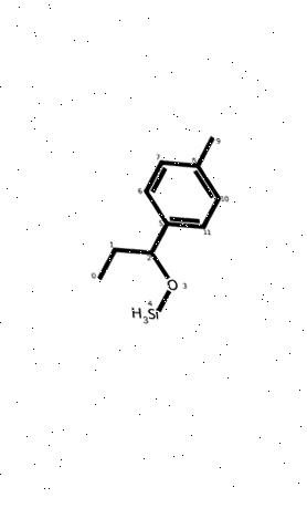 CCC(O[SiH3])c1ccc(C)cc1